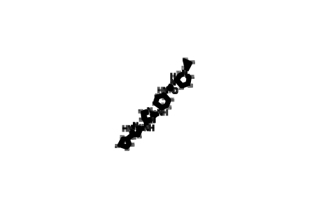 O=C(NC1CCC(Nc2nccc(Nc3cc(C4CCCC4)[nH]n3)n2)CC1)NC1CCCN(C2CC2)C1